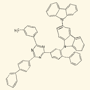 Cc1cccc(-c2nc(-c3ccc(-c4ccccc4)cc3)nc(-c3ccc(-c4ccccc4)c(-n4c5ccccc5c5cc(-n6c7ccccc7c7ccccc76)ccc54)c3)n2)c1